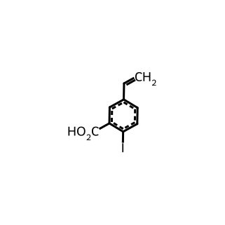 C=Cc1ccc(I)c(C(=O)O)c1